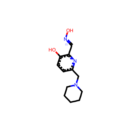 O/N=C/c1nc(CN2CCCCC2)ccc1O